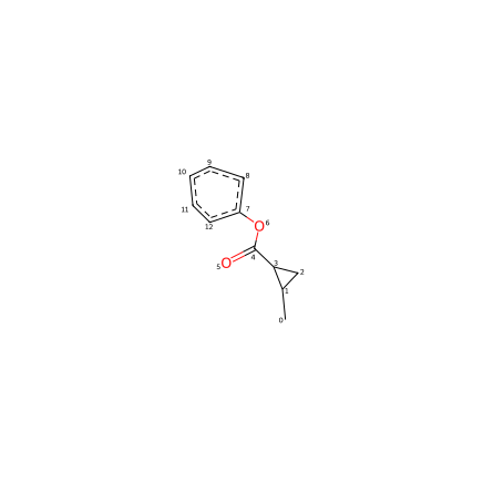 CC1CC1C(=O)Oc1ccccc1